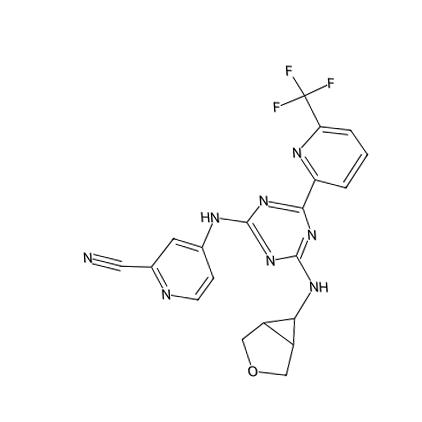 N#Cc1cc(Nc2nc(NC3C4COCC43)nc(-c3cccc(C(F)(F)F)n3)n2)ccn1